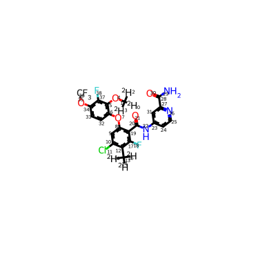 [2H]C([2H])([2H])Oc1c(Oc2cc(Cl)c(C([2H])([2H])[2H])c(F)c2C(=O)Nc2ccnc(C(N)=O)c2)ccc(OC(F)(F)F)c1F